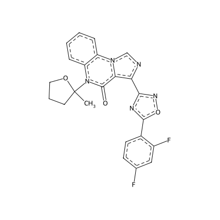 CC1(n2c(=O)c3c(-c4noc(-c5ccc(F)cc5F)n4)ncn3c3ccccc32)CCCO1